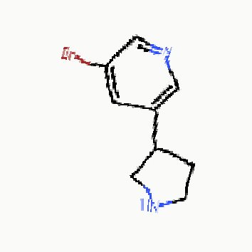 Brc1cncc(C2CCNC2)c1